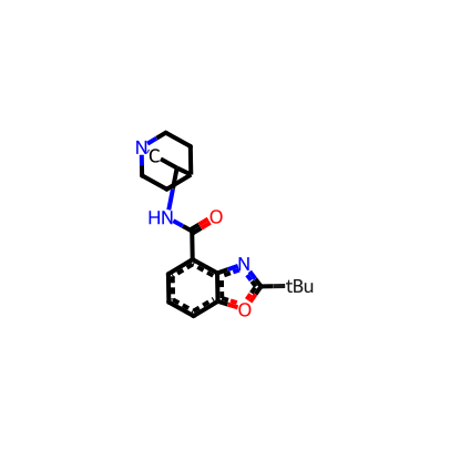 CC(C)(C)c1nc2c(C(=O)NC3CN4CCC3CC4)cccc2o1